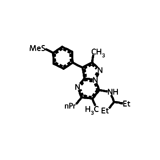 CCCc1nc2c(-c3ccc(SC)cc3)c(C)nn2c(NC(CC)CC)c1C